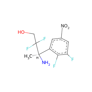 C[C@@](N)(c1cc([N+](=O)[O-])cc(F)c1F)C(F)(F)CO